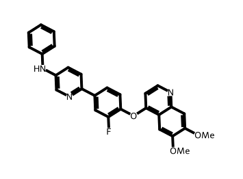 COc1cc2nccc(Oc3ccc(-c4ccc(Nc5ccccc5)cn4)cc3F)c2cc1OC